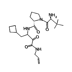 C=CCNC(=O)C(=O)C(CC1CCC1)NC(=O)[C@@H]1CCCN1C(=O)[C@@H](N)C(C)(C)C